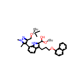 Cc1c(-c2cccc3c(CCCOc4cccc5ccccc45)c(C(O)OC(C)(C)C)[nH]c23)c(CO[Si](C)(C)C(C)(C)C)nn1C